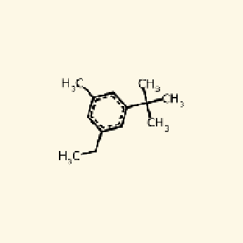 CCc1cc(C)cc(C(C)(C)C)c1